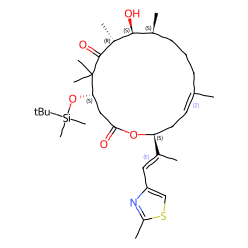 C/C1=C/C[C@@H](/C(C)=C/c2csc(C)n2)OC(=O)C[C@H](O[Si](C)(C)C(C)(C)C)C(C)(C)C(=O)[C@H](C)[C@@H](O)[C@@H](C)CCC1